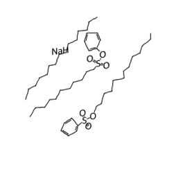 CCCCCCCCCCCCCCC.CCCCCCCCCCCCCOS(=O)(=O)c1ccccc1.CCCCCCCCCCCS(=O)(=O)Oc1ccccc1.[NaH]